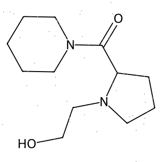 O=C(C1CCCN1CCO)N1CCCCC1